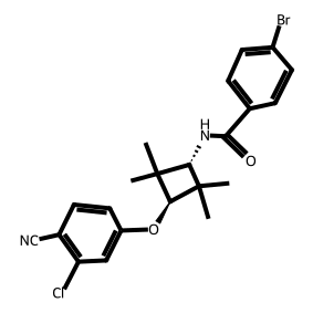 CC1(C)[C@H](NC(=O)c2ccc(Br)cc2)C(C)(C)[C@H]1Oc1ccc(C#N)c(Cl)c1